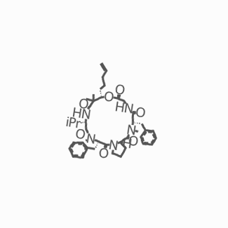 C=CCCC[C@@H]1OC(=O)CNC(=O)[C@H](Cc2ccccc2)N(C)C(=O)[C@@H]2CCCN2C(=O)[C@H](Cc2ccccc2)N(C)C(=O)[C@H](C(C)C)NC(=O)C1(C)C